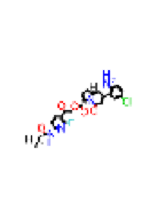 CC(=O)Nc1ccc(C(=O)COC(=O)[C@@H]2CC[C@H]3CC(c4cc(Cl)ccc4N)=CC(=O)N32)c(F)n1